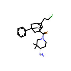 CC1(C)CN(C(=S)C23CC4CC(c5ccccc5)(CC2C4CCF)C3)CC[C@@H]1N